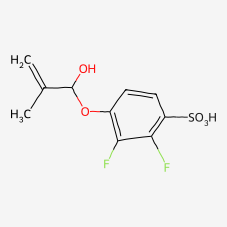 C=C(C)C(O)Oc1ccc(S(=O)(=O)O)c(F)c1F